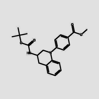 COC(=O)c1ccc(N2CC(NC(=O)OC(C)(C)C)Cc3ccccc32)cc1